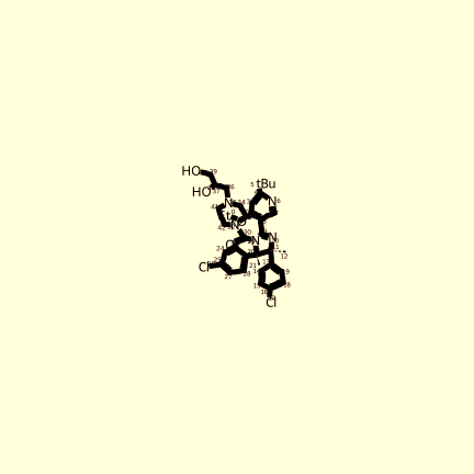 CCOc1cc(C(C)(C)C)ncc1C1=N[C@@](C)(c2ccc(Cl)cc2)[C@@](C)(c2ccc(Cl)cc2)N1C(=O)N1CCN(CC(O)CO)CC1